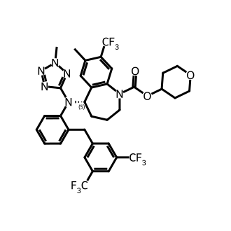 Cc1cc2c(cc1C(F)(F)F)N(C(=O)OC1CCOCC1)CCC[C@@H]2N(c1nnn(C)n1)c1ccccc1Cc1cc(C(F)(F)F)cc(C(F)(F)F)c1